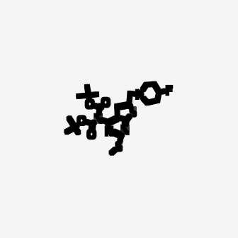 CSc1nc(N(C(=O)OC(C)(C)C)C(=O)OC(C)(C)C)c2cc(CN3CCC(F)CC3)sc2n1